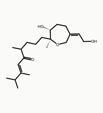 C/C(=C\C(=O)C(C)CCC[C@]1(C)OCC(=CCO)CC[C@H]1O)C(C)C